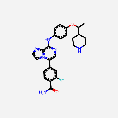 CC(Oc1ccc(Nc2ncc(-c3ccc(C(N)=O)c(F)c3)n3ccnc23)cc1)C1CCNCC1